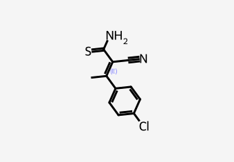 C/C(=C(/C#N)C(N)=S)c1ccc(Cl)cc1